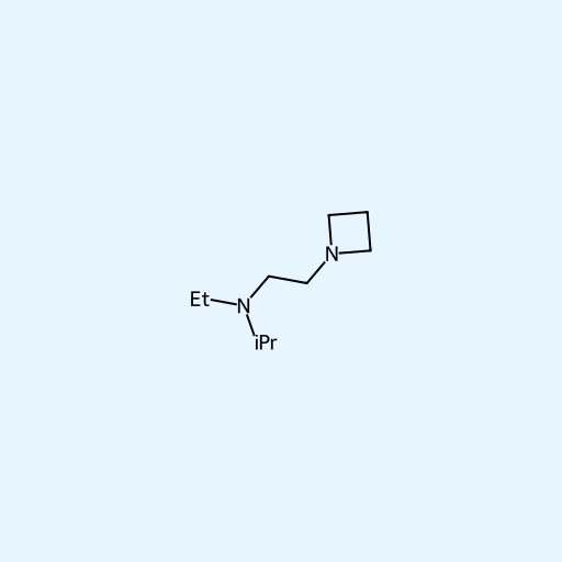 CCN(CCN1CCC1)C(C)C